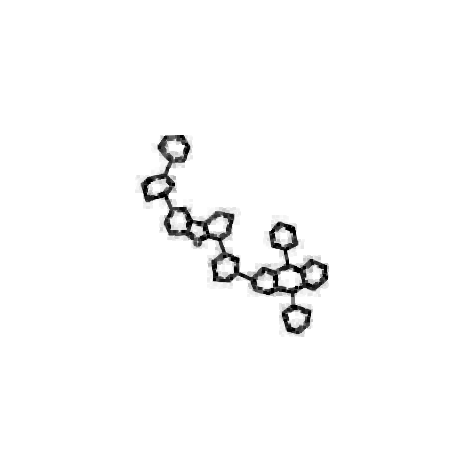 c1ccc(-c2cccc(-c3ccc4oc5c(-c6cccc(-c7ccc8c(-c9ccccc9)c9ccccc9c(-c9ccccc9)c8c7)c6)cccc5c4c3)c2)cc1